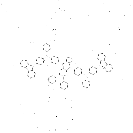 Cc1ccc(N(c2ccc(-c3c4nsnc4c(-c4ccc(N(c5ccc(C)cc5)c5ccc(-n6c7ccccc7c7ccccc76)cc5)cc4)c4nc(-c5ccccc5)c(-c5ccccc5)nc34)cc2)c2ccc(-n3c4ccccc4c4ccccc43)cc2)cc1